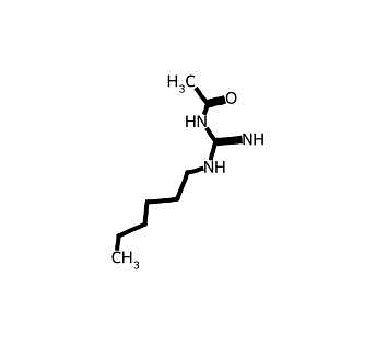 CCCCCCNC(=N)NC(C)=O